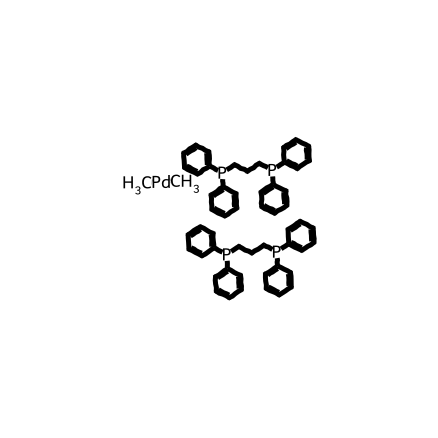 [CH3][Pd][CH3].c1ccc(P(CCCP(c2ccccc2)c2ccccc2)c2ccccc2)cc1.c1ccc(P(CCCP(c2ccccc2)c2ccccc2)c2ccccc2)cc1